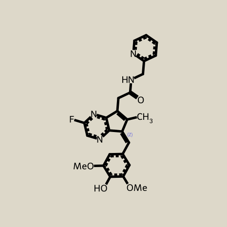 COc1cc(/C=C2/C(C)=C(CC(=O)NCc3ccccn3)c3nc(F)cnc32)cc(OC)c1O